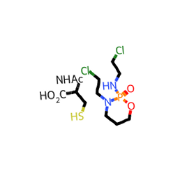 CC(=O)NC(CS)C(=O)O.O=P1(NCCCl)OCCCN1CCCl